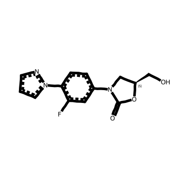 O=C1O[C@H](CO)CN1c1ccc(-n2cccn2)c(F)c1